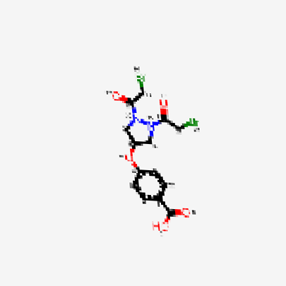 O=C(O)c1ccc(OC2CN(C(=O)CBr)N(C(=O)CBr)C2)cc1